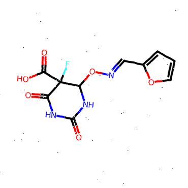 O=C1NC(=O)C(F)(C(=O)O)C(ON=Cc2ccco2)N1